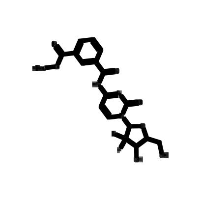 CCCCCCCCCCOC(=O)c1cccc(C(=O)Nc2ccn(C3OC(CO)C(O)C3(F)F)c(=O)n2)c1